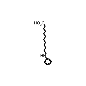 O=C(O)CCCCCCCCCCCNc1ccccc1